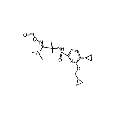 CN(C)/C(=N\OC=O)C(C)(C)NC(=O)c1ccc(C2CC2)c(OCC2CC2)n1